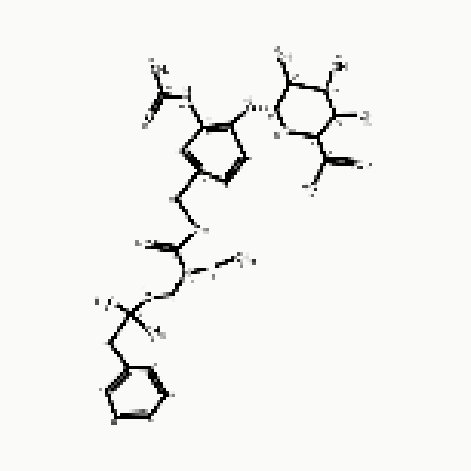 CCN(COC(C)(C)Cc1ccccc1)C(=O)OCc1ccc(O[C@H]2OC(C(=O)O)C(O)[C@H](O)C2O)c(NC(C)=O)c1